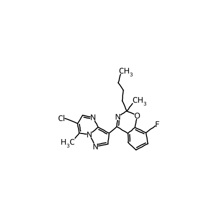 CCCCC1(C)N=C(c2cnn3c(C)c(Cl)cnc23)c2cccc(F)c2O1